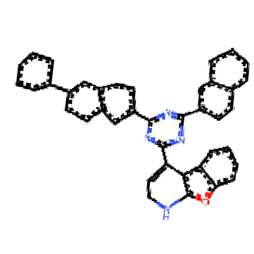 C1=C(c2nc(-c3ccc4ccccc4c3)nc(-c3ccc4cc(-c5ccccc5)ccc4c3)n2)c2c(oc3ccccc23)NC1